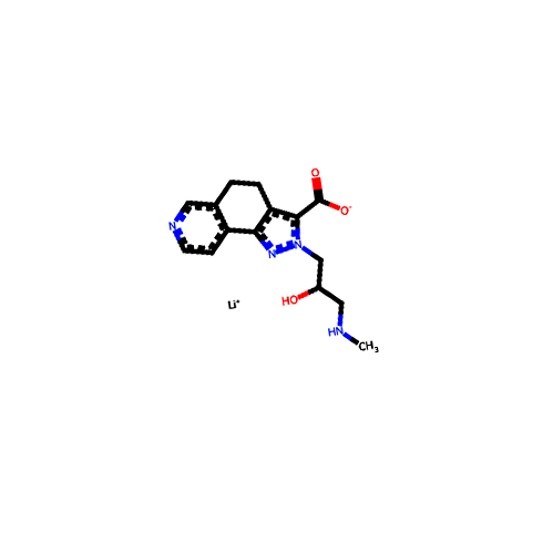 CNCC(O)Cn1nc2c(c1C(=O)[O-])CCc1cnccc1-2.[Li+]